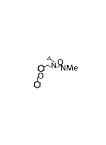 CNC(=O)CN(CCc1cccc(OCc2ccccc2)c1)CC1CC1